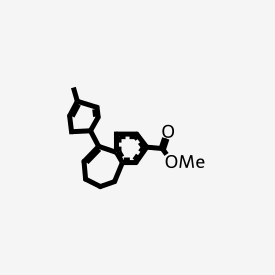 COC(=O)c1ccc2c(c1)CCCC=C2C1C=CC(C)=CC1